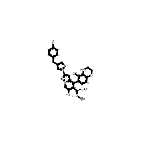 Cc1cn2nc(-n3cc(Cc4ccc(F)cc4)cn3)cc2c(-c2ccc3c(c2Cl)NCCO3)c1[C@H](OC(C)(C)C)C(=O)O